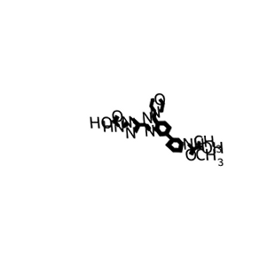 CC(C)(O)C(=O)Nc1cccc(-c2ccc3c(N4CCOCC4)nc(-c4cnc(NC(=O)O)nc4)nc3c2)c1